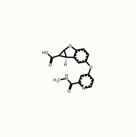 CNC(=O)c1cc(Oc2ccc3c(c2)[C@@H]2C(O3)C2C(=O)O)ccn1